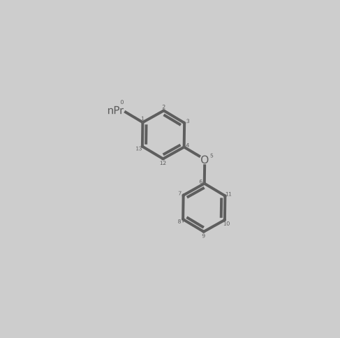 CCCc1ccc(Oc2c[c]ccc2)cc1